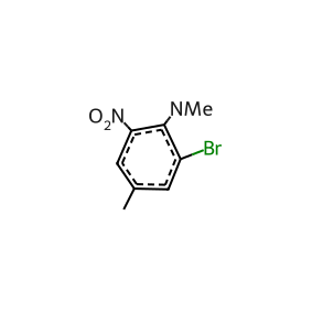 CNc1c(Br)cc(C)cc1[N+](=O)[O-]